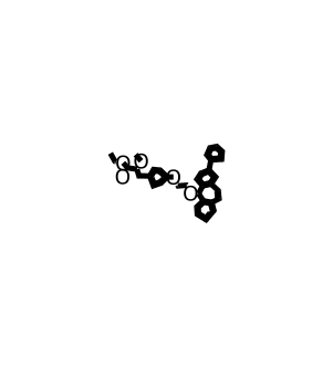 CCOC(=O)C(Cc1ccc(OCCOC2c3ccccc3C=Cc3cc(-c4ccccc4)ccc32)cc1)OC